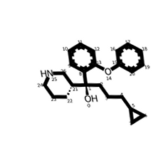 O[C@](CCCC1CC1)(c1ccccc1Oc1ccccc1)[C@@H]1CCCNC1